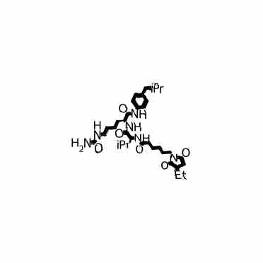 CCC1CC(=O)N(CCCCCC(=O)N[C@H](C(=O)N[C@@H](CCCCNC(N)=O)C(=O)Nc2ccc(CC(C)C)cc2)C(C)C)C1=O